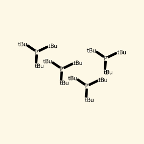 CC(C)(C)P(C(C)(C)C)C(C)(C)C.CC(C)(C)P(C(C)(C)C)C(C)(C)C.CC(C)(C)P(C(C)(C)C)C(C)(C)C.CC(C)(C)P(C(C)(C)C)C(C)(C)C